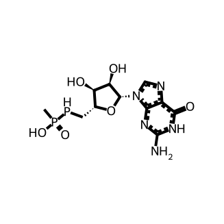 CP(=O)(O)PC[C@H]1O[C@@H](n2cnc3c(=O)[nH]c(N)nc32)[C@H](O)[C@@H]1O